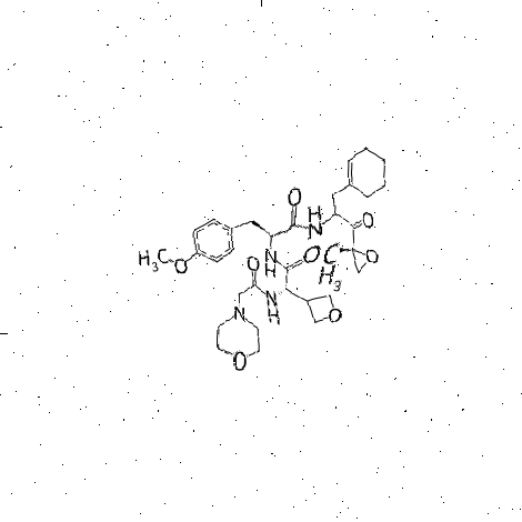 COc1ccc(C[C@H](NC(=O)[C@@H](NC(=O)CN2CCOCC2)C2COC2)C(=O)NC(CC2=CCCCC2)C(=O)[C@@]2(C)CO2)cc1